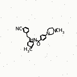 Cc1ccc(CCc2cccc(C#N)c2)c(NC(=O)c2ccc(N3CCCN(C)CC3)cc2)c1